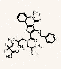 CC(C)CN(CC(C)C)C(=O)c1sc2c(c1OCc1ccncc1)c(=O)n(C)c1ccccc21.O=C(O)C(F)(F)F